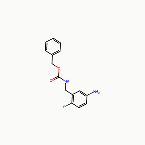 Nc1ccc(F)c(CNC(=O)OCc2ccccc2)c1